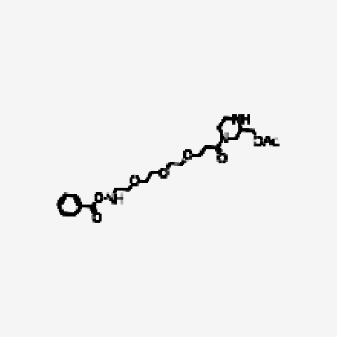 CC(=O)OCC1CN(C(=O)CCOCCOCCOCCNOC(=O)c2ccccc2)CCN1